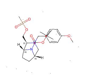 COc1ccc(CN2C[C@@H]3CC[C@H]([C@H]2COS(C)(=O)=O)N3C(=O)OC(C)(C)C)cc1